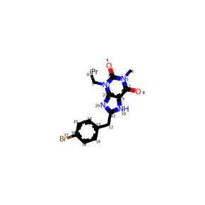 CC(C)Cn1c(=O)n(C)c(=O)c2[nH]c(Cc3ccc(Br)cc3)nc21